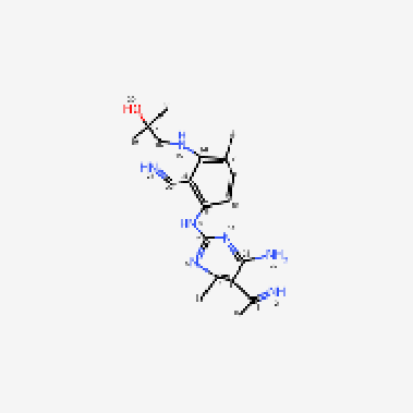 CC(=N)c1c(C)nc(Nc2ccc(C)c(NCC(C)(C)O)c2C=N)nc1N